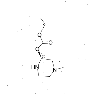 CCOC(=O)O[C@H]1CN(C)CCN1